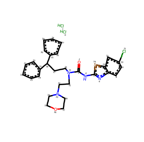 Cl.Cl.O=C(Nc1nc2ccc(Cl)cc2s1)N(CCC(c1ccccc1)c1ccccc1)CCN1CCOCC1